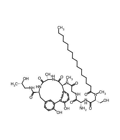 CCCCCCCCCCCCCCCC(=O)N(C)[C@H](CO)C(=O)N[C@H](N)C(=O)NCC(=O)N(C)[C@@H]1C(=O)N[C@@H](C)C(=O)N[C@H](C(=O)NC[C@H](C)O)Cc2ccc(O)c(c2)-c2cc1ccc2O